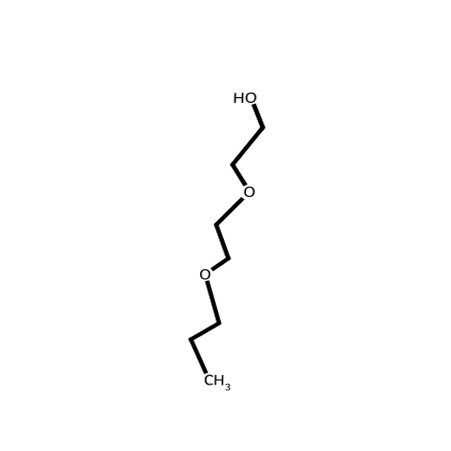 CCCOCCOCCO